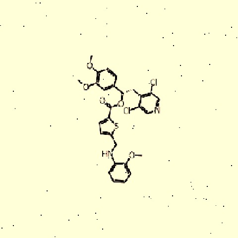 COc1ccccc1NCc1ccc(C(=O)O[C@@H](Cc2c(Cl)cncc2Cl)c2ccc(OC)c(OC)c2)s1